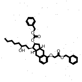 CCCCC[C@H](O)CC[C@@H]1[C@H]2Cc3cccc(OCC(=O)OCc4ccccc4)c3C[C@H]2C[C@H]1OC(=O)OCc1ccccc1